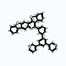 c1cncc(-c2cc(-c3cccnc3)cc(-c3cccc(-c4nc5cc6c(cc5c5oc7ccccc7c45)oc4ccccc46)c3)c2)c1